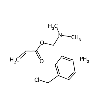 C=CC(=O)OCN(C)C.ClCc1ccccc1.P